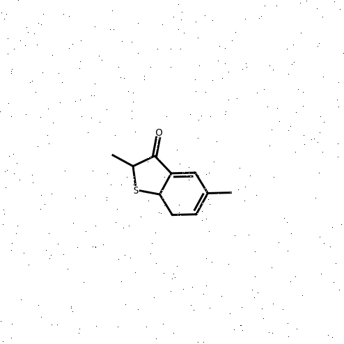 CC1=CCC2SC(C)C(=O)C2=C1